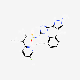 COc1cccc(OC)c1-n1c(NS(=O)(=O)C(C)C(OC)c2ccc(F)cn2)nnc1-c1ccn(C)n1